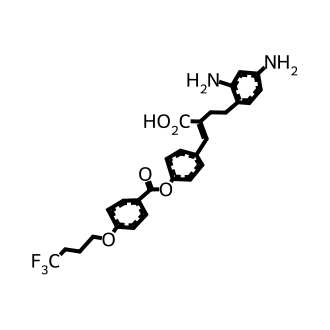 Nc1ccc(CCC(=Cc2ccc(OC(=O)c3ccc(OCCCC(F)(F)F)cc3)cc2)C(=O)O)c(N)c1